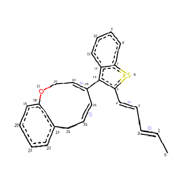 C/C=C/C=C/c1sc2ccccc2c1C1=C/COc2ccccc2C/C=C\1